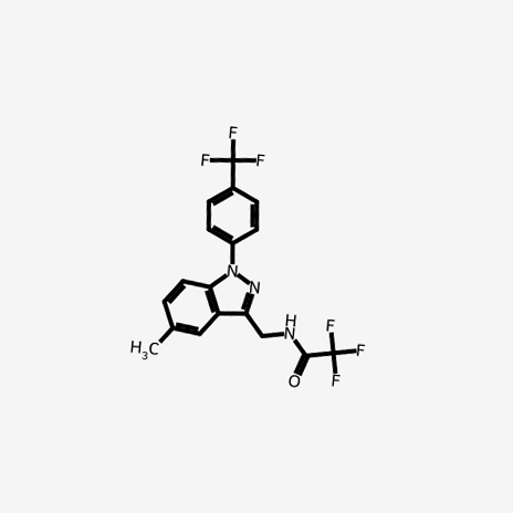 Cc1ccc2c(c1)c(CNC(=O)C(F)(F)F)nn2-c1ccc(C(F)(F)F)cc1